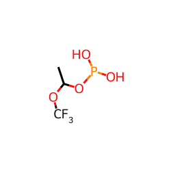 CC(OP(O)O)OC(F)(F)F